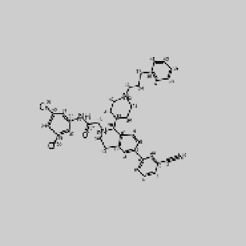 N#Cc1cccc(-c2ccc3c(c2)CCN(CC(=O)Nc2cc(Cl)cc(Cl)c2)C3C2CCN(CCCc3ccccc3)CC2)c1